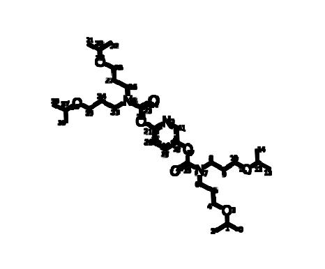 CC(C)OCCCN(CCCOC(C)C)C(=O)Oc1ccc(OC(=O)N(CCCOC(C)C)CCCOC(C)C)nc1